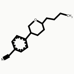 CCCCC1CCC(c2ccc(C#N)cc2)CO1